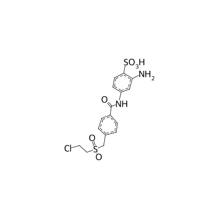 Nc1cc(NC(=O)c2ccc(CS(=O)(=O)CCCl)cc2)ccc1S(=O)(=O)O